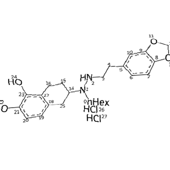 CCCCCCN(NCCc1ccc2c(c1)OCO2)C1CCc2c(ccc(O)c2O)C1.Cl.Cl